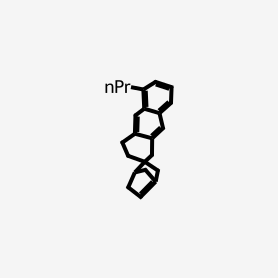 CCCc1cccc2cc3c(cc12)CCC1(CC2=CCC1C2)C3